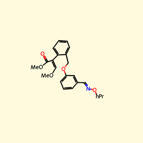 CCCON=Cc1cccc(OCc2ccccc2C(=COC)C(=O)OC)c1